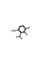 CC(C)c1c(O)ccc(F)c1F